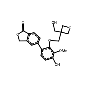 COc1c(O)ccc(-c2ccc3c(c2)COC3=O)c1OCC1(CO)COC1